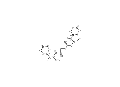 CCC(OC(=O)/C=C/C(=O)OC(CC)C(C)N1CCOCC1)C(C)N1CCOCC1